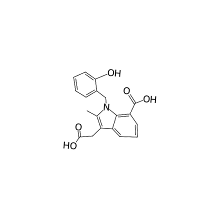 Cc1c(CC(=O)O)c2cccc(C(=O)O)c2n1Cc1ccccc1O